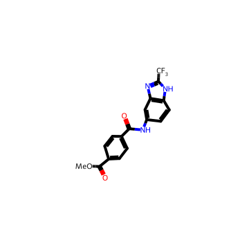 COC(=O)c1ccc(C(=O)Nc2ccc3[nH]c(C(F)(F)F)nc3c2)cc1